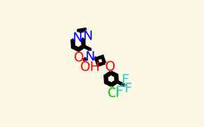 O=C(O)N(Cc1cccn2ccnc12)C1CC(Oc2ccc(Cl)c(C(F)(F)F)c2)C1